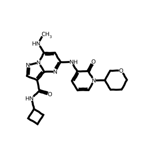 CNc1cc(Nc2cccn(C3CCCOC3)c2=O)nc2c(C(=O)NC3CCC3)cnn12